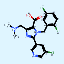 CN(C)Cc1nc(-c2cncc(Cl)c2)n(Cc2cc(Cl)ccc2Cl)c1C(=O)O